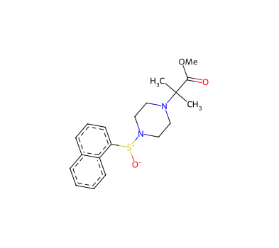 COC(=O)C(C)(C)N1CCN([S+]([O-])c2cccc3ccccc23)CC1